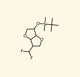 CC(C)(C)[Si](C)(C)OC1COC2C(C(F)F)COC12